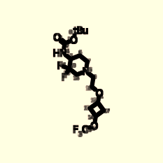 CC(C)(C)OC(=O)NC1CCN(CCOC2CC(OC(F)(F)F)C2)CC1(F)F